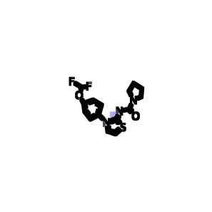 O=C(/N=c1\sccn1-c1ccc(OC(F)F)cc1)N1CCCC1